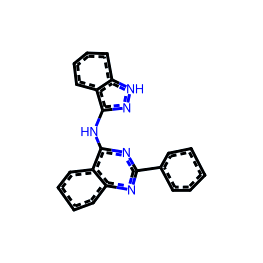 c1ccc(-c2nc(Nc3n[nH]c4ccccc34)c3ccccc3n2)cc1